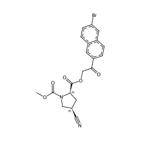 COC(=O)N1C[C@H](C#N)C[C@@H]1C(=O)OCC(=O)c1ccc2cc(Br)ccc2c1